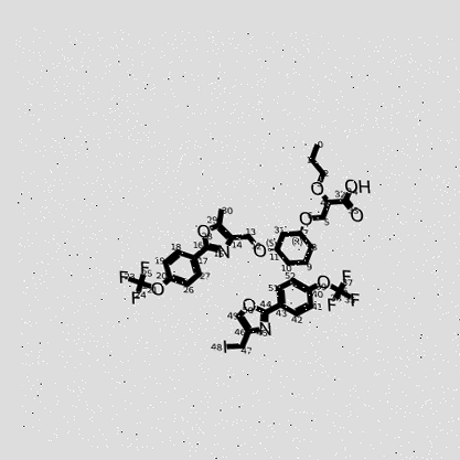 CCCOC(CO[C@@H]1CCC[C@H](OCc2nc(-c3ccc(OC(F)(F)F)cc3)oc2C)C1)C(=O)O.FC(F)(F)Oc1ccc(-c2nc(CI)co2)cc1